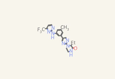 CCC1C(=O)NCCN1c1ncc(-c2cc(C)cc(Nc3nccc(C(F)(F)F)n3)c2)cn1